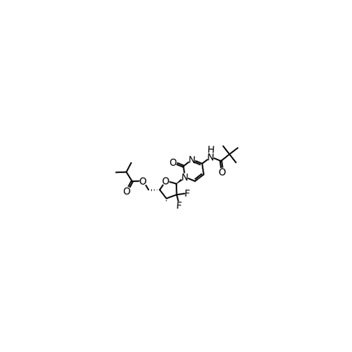 CC(C)C(=O)OC[C@H]1[CH]C(F)(F)[C@H](n2ccc(NC(=O)C(C)(C)C)nc2=O)O1